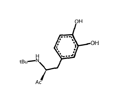 CC(=O)[C@H](Cc1ccc(O)c(O)c1)NC(C)(C)C